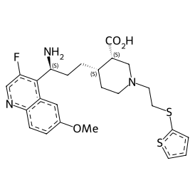 COc1ccc2ncc(F)c([C@@H](N)CC[C@H]3CCN(CCSc4cccs4)C[C@H]3C(=O)O)c2c1